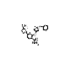 NC(=O)c1ccc(N2CCC(N)C2)nc1Oc1cnn(Cc2ccccc2)c1